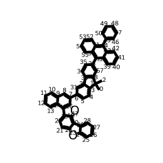 CC1(C)c2ccc(-c3cc4ccccc4c4c3oc3c4ccc4oc5ccccc5c43)cc2-c2ccc(-c3c4ccccc4c(-c4ccccc4)c4ccccc34)cc21